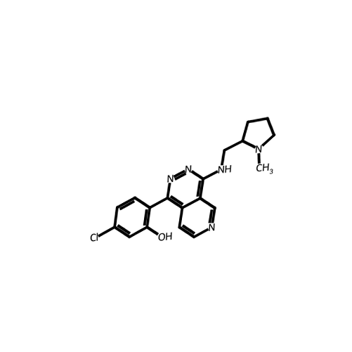 CN1CCCC1CNc1nnc(-c2ccc(Cl)cc2O)c2ccncc12